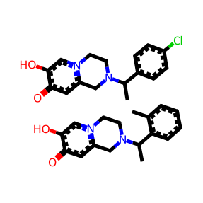 CC(c1ccc(Cl)cc1)N1CCn2cc(O)c(=O)cc2C1.Cc1ccccc1C(C)N1CCn2cc(O)c(=O)cc2C1